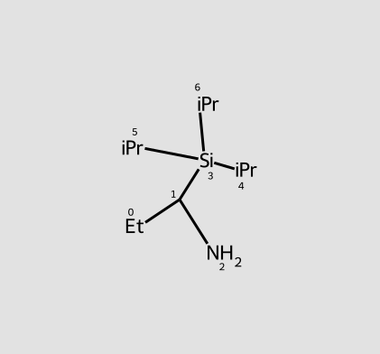 CCC(N)[Si](C(C)C)(C(C)C)C(C)C